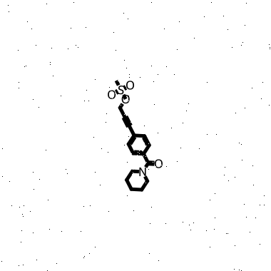 CS(=O)(=O)OCC#Cc1ccc(C(=O)N2CCCCC2)cc1